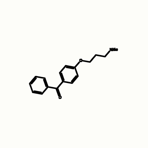 CNCCCOc1ccc(C(=O)c2ccccc2)cc1